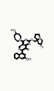 Oc1cc(-c2ncc3c(N4CCCC(O)CC4)nc(OCC45CCCN4C[C@H](F)C5)nc3c2F)c2ccccc2c1